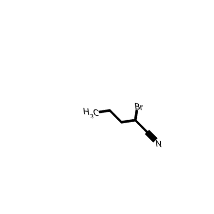 CCCC(Br)C#N